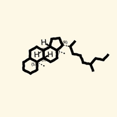 CCCC(C)CCCC(C)[C@H]1CC[C@H]2[C@@H]3CCC4CCCC[C@]4(C)[C@H]3CC[C@]12C